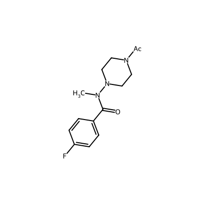 CC(=O)N1CCN(N(C)C(=O)c2ccc(F)cc2)CC1